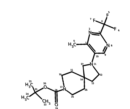 Cc1nc(C(F)(F)F)ncc1N1CCC2(CCN(C(=O)OC(C)(C)C)CC2)C1